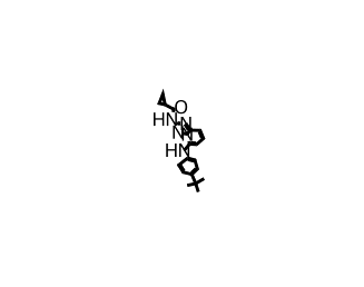 CC(C)(C)c1ccc(Nc2cccc3nc(NC(=O)C4CC4)nn23)cc1